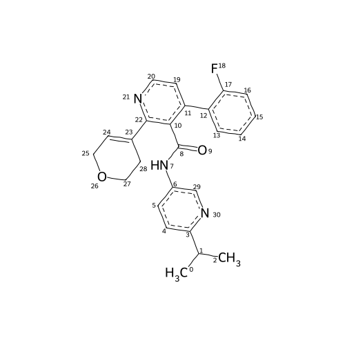 CC(C)c1ccc(NC(=O)c2c(-c3ccccc3F)ccnc2C2=CCOCC2)cn1